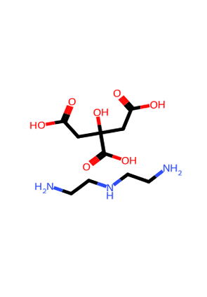 NCCNCCN.O=C(O)CC(O)(CC(=O)O)C(=O)O